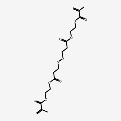 C=C(C)C(=O)OCCOC(=O)CCSSCCC(=O)OCCOC(=O)C(=C)C